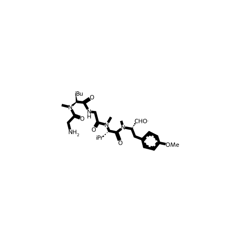 CC[C@H](C)[C@@H](C(=O)NCC(=O)N(C)[C@H](C(=O)N(C)[C@H]([C]=O)Cc1ccc(OC)cc1)C(C)C)N(C)C(=O)CN